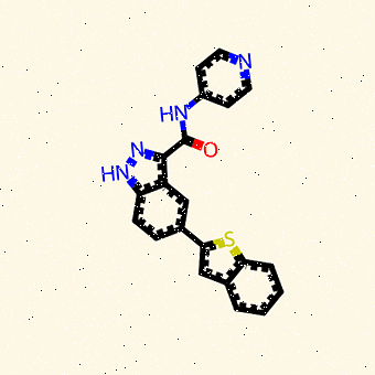 O=C(Nc1ccncc1)c1n[nH]c2ccc(-c3cc4ccccc4s3)cc12